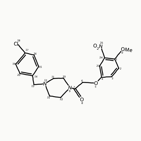 COc1ccc(OCC(=O)N2CCN(Cc3ccc(Cl)cc3)CC2)cc1[N+](=O)[O-]